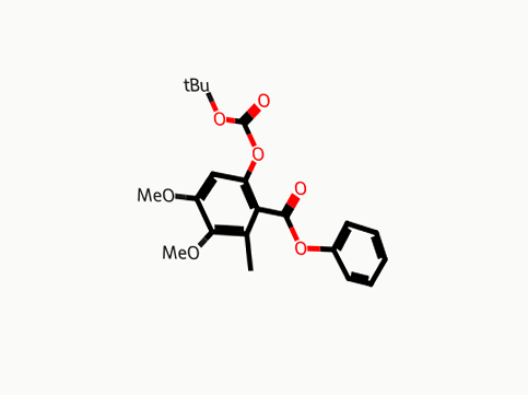 COc1cc(OC(=O)OC(C)(C)C)c(C(=O)Oc2ccccc2)c(C)c1OC